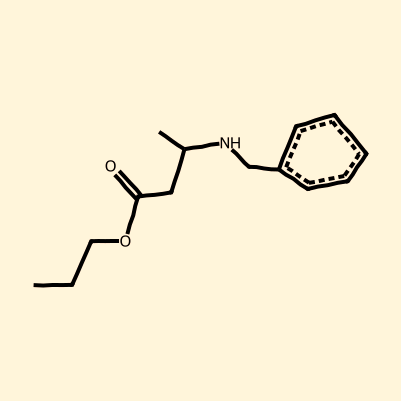 CCCOC(=O)CC(C)NCc1ccccc1